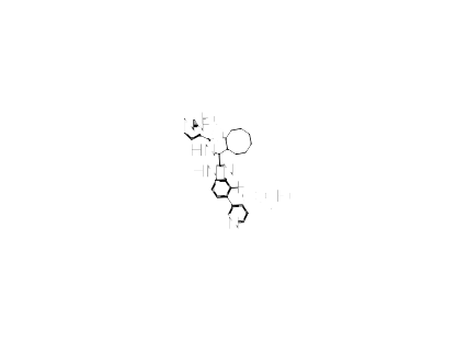 CCOC(=O)c1ccncc1-c1ccc2[nH]c(C(NC(=O)c3ccnn3CC)C3CCCCCCC3)nc2c1F